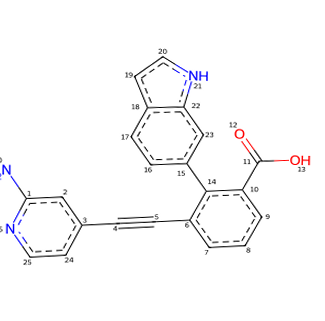 Nc1cc(C#Cc2cccc(C(=O)O)c2-c2ccc3cc[nH]c3c2)ccn1